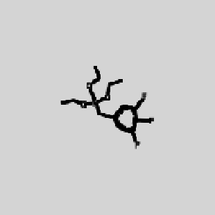 CCO[Si](Cc1cc(F)c(F)c(F)c1)(OCC)OCC